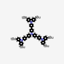 CC(C)(C)c1ccc2c(c1)c1cc(C(C)(C)C)ccc1n2-c1ccc(-c2ccc(N(c3ccc(-c4ccc(-n5c6ccc(C(C)(C)C)cc6c6cc(C(C)(C)C)ccc65)cc4)cc3)c3ccc(-c4ccc(-n5c6ccc(C(C)(C)C)cc6c6cc(C(C)(C)C)ccc65)cc4)cc3)cc2)cc1